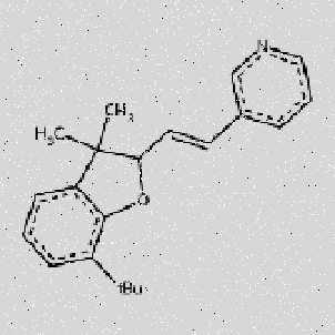 CC(C)(C)c1cccc2c1OC(C=Cc1cccnc1)C2(C)C